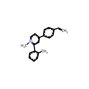 C=Cc1ccc(-c2cc[n+](C)c(-c3ccccc3C)c2)cc1